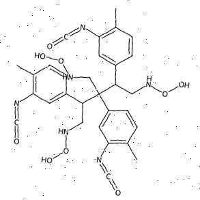 Cc1ccc(C(CNOO)C(CNOO)(c2ccc(C)c(N=C=O)c2)C(CNOO)c2ccc(C)c(N=C=O)c2)cc1N=C=O